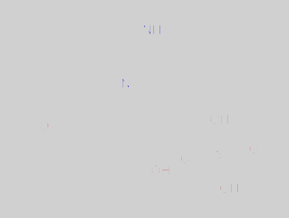 CN(CCO)CCO.N.O=S(=O)(O)O